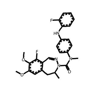 COc1cc2c(c(F)c1OC)C=NN(C(=O)N(C)c1ccc(Nc3ccccc3F)cc1)C(C)C2